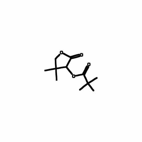 CC(C)(C)C(=O)OC1C(=O)OCC1(C)C